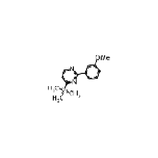 COc1cccc(-c2ncc[c]([Sn]([CH3])([CH3])[CH3])n2)c1